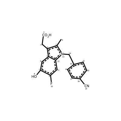 Cc1c(CC(=O)O)c2cc(O)c(F)cc2n1Cc1ccc(C#N)cc1